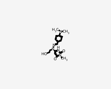 CN(C)c1ccc(C=NN(CCO)c2cc(=O)n(C)c(=O)[nH]2)cc1